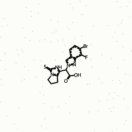 O=C(O)C(c1[nH]c(=S)n2c1CCC2)n1cc2ccc(Br)c(F)c2n1